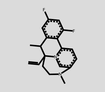 C=CC12CCN(C)c3ccc([n+]1c3)-c1c(F)cc(F)cc1C2C